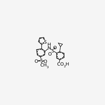 CS(=O)(=O)c1ccc(-c2cccs2)c(NS(=O)(=O)c2cc(C(=O)O)ccc2C2CC2)c1